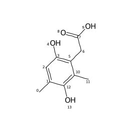 Cc1cc(O)c(CC(=O)O)c(C)c1O